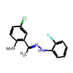 CNc1ccc(Cl)cc1/C(C)=N/Nc1ccccc1F